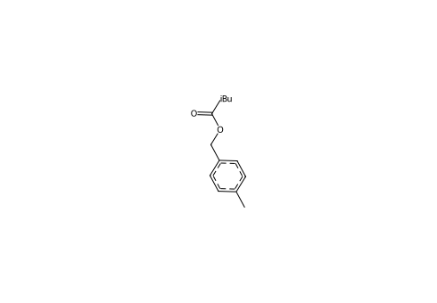 CCC(C)C(=O)OCc1ccc(C)cc1